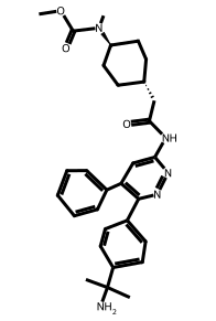 COC(=O)N(C)[C@H]1CC[C@H](CC(=O)Nc2cc(-c3ccccc3)c(-c3ccc(C(C)(C)N)cc3)nn2)CC1